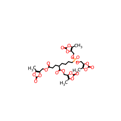 Cc1oc(=O)oc1COC(=O)CCC(CCCCP(=O)(OCc1oc(=O)oc1C)OCc1oc(=O)oc1C)C(=O)OCc1oc(=O)oc1C